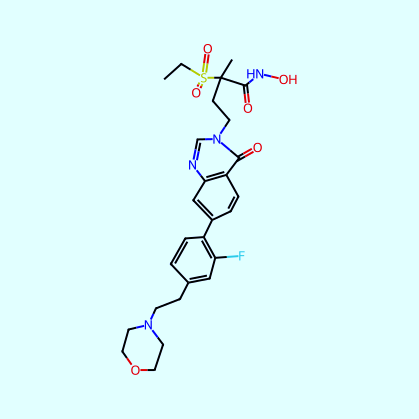 CCS(=O)(=O)C(C)(CCn1cnc2cc(-c3ccc(CCN4CCOCC4)cc3F)ccc2c1=O)C(=O)NO